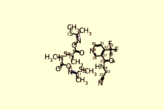 CS/C(C)=N\OC(=O)N(C)SN(C)C(=O)O/N=C(/C)SC.N#CCNC(=O)c1cnccc1C(F)(F)F